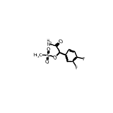 CS(=O)(=O)OC(C(N)=O)c1ccc(F)c(F)c1